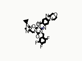 O=c1[nH]/c(=N\c2cc3c(cc2Cl)nc2n3CCOC2)n(Cc2cc(F)c(F)cc2F)c(=O)n1Cc1ncn(C2CC2)n1